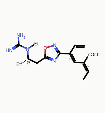 C=C/C(=C\C(=C/C)CCCCCCCC)c1noc(C[C@H](CC)N(CC)C(=N)N)n1